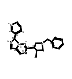 CC1CN(Cc2ccccc2)CC1C1=NN2C(=CN1)C=NC2c1cccnc1